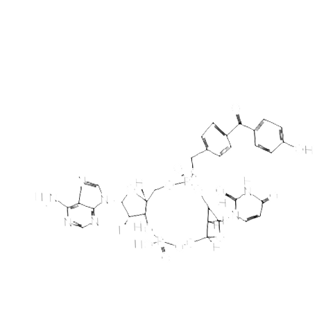 Nc1ncnc2c1ncn2[C@@H]1O[C@@H]2COP(=O)(SCc3ccc(C(=O)c4ccc(O)cc4)cc3)O[C@@H]3[C@H](F)[C@@H](COP(=O)(O)O[C@H]2[C@H]1F)O[C@H]3n1ccc(=O)[nH]c1=O